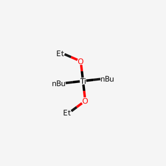 CCC[CH2][Ti]([CH2]CCC)([O]CC)[O]CC